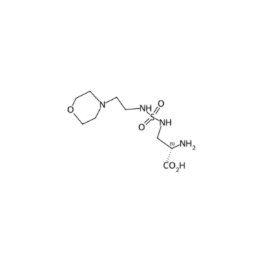 N[C@@H](CNS(=O)(=O)NCCN1CCOCC1)C(=O)O